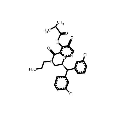 CCCN1C[C@H](C(c2cccc(Cl)c2)c2cccc(Cl)c2)n2ncc(=O)c(OC(=O)C(C)C)c2C1=O